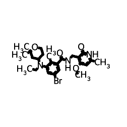 CCN(c1cc(Br)cc(C(=O)NCc2c(OC)cc(C)[nH]c2=O)c1C)C1CCOC(C)(C)C1